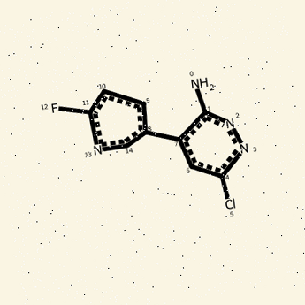 Nc1nnc(Cl)cc1-c1ccc(F)nc1